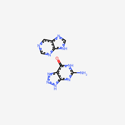 Nc1nc2[nH]nnc2c(=O)[nH]1.c1ncc2nc[nH]c2n1